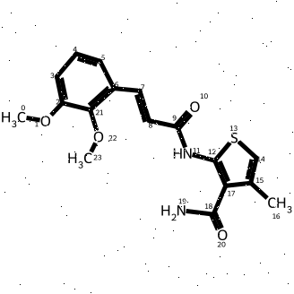 COc1cccc(C=CC(=O)Nc2scc(C)c2C(N)=O)c1OC